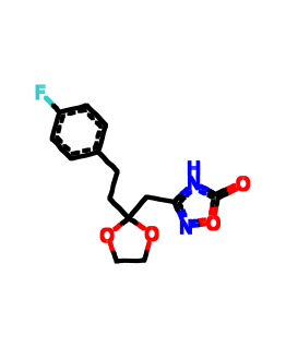 O=c1[nH]c(CC2(CCc3ccc(F)cc3)OCCO2)no1